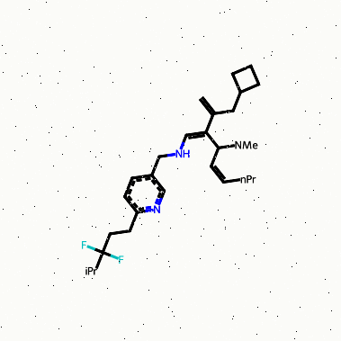 C=C(CC1CCC1)/C(=C/NCc1ccc(CCC(F)(F)C(C)C)nc1)C(/C=C\CCC)NC